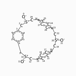 [O-][S+]1Cc2ccc(cc2)C[S+]([O-])Cc2ccc(cc2)C[S+]([O-])Cc2ccc(cc2)C1